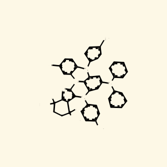 CC(C)c1ccc(N2c3ccc(C(C)(C)C)cc3B3c4oc5c(c4N(c4ccc(C(C)(C)C)cc4)c4cc(N(c6ccccc6)c6ccccc6)cc2c43)C(C)(C)CCC5(C)C)cc1